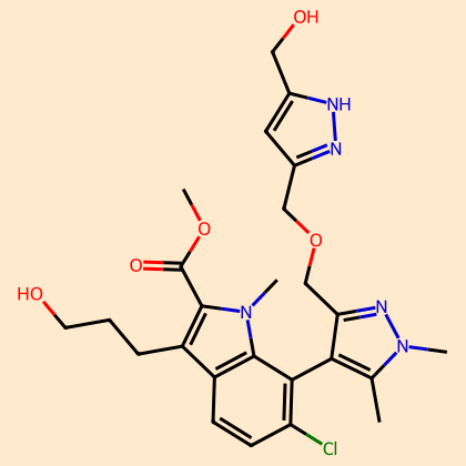 COC(=O)c1c(CCCO)c2ccc(Cl)c(-c3c(COCc4cc(CO)[nH]n4)nn(C)c3C)c2n1C